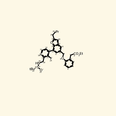 CCOC(=O)Cc1ccccc1OCc1cc(-c2ccnc(CN[S@+]([O-])C(C)(C)C)c2F)c2oc(CC(C)C)cc2c1